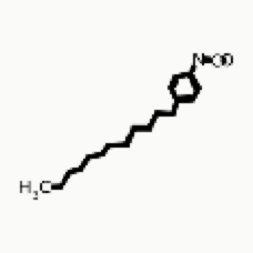 CCCCCCCCCCCCc1ccc(N=C=O)cc1